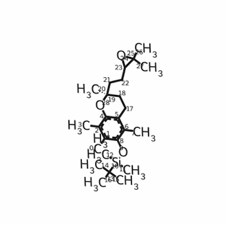 Cc1c(C)c2c(c(C)c1O[Si](C)(C)C(C)(C)C)CC[C@](C)(CCC1OC1(C)C)O2